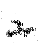 CC(C)(C)OC(=O)NCCOc1cc(OCCNC(=O)OC(C)(C)C)cc(C(=O)NCCOc2ccc(-c3nnc(S(C)(=O)=O)o3)cc2)c1